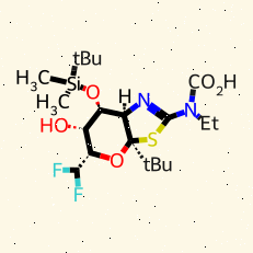 CCN(C(=O)O)C1=N[C@@H]2[C@@H](O[Si](C)(C)C(C)(C)C)[C@@H](O)[C@@H](C(F)F)O[C@]2(C(C)(C)C)S1